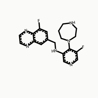 Fc1cncc(NCc2cc(F)c3nccnc3c2)c1N1CCCNCC1